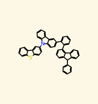 c1ccc(C2c3ccccc3-c3c(-c4ccccc4-c4ccc5c(c4)c4ccccc4n5-c4ccc5sc6ccccc6c5c4)cccc32)cc1